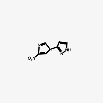 O=[N+]([O-])c1cn(-c2cc[nH]n2)cn1